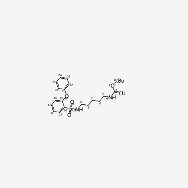 CC(C)(C)OC(=O)NCCCCCNS(=O)(=O)c1ccccc1Oc1ccccc1